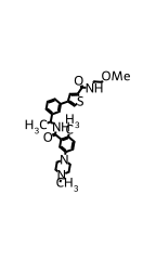 COCCNC(=O)c1cc(-c2cccc(C(C)NC(=O)c3cc(N4CCN(C)CC4)ccc3C)c2)cs1